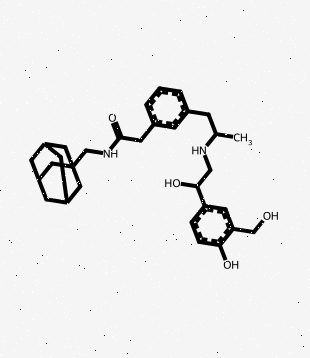 CC(Cc1cccc(CC(=O)NCC23CC4CC(CC(C4)C2)C3)c1)NCC(O)c1ccc(O)c(CO)c1